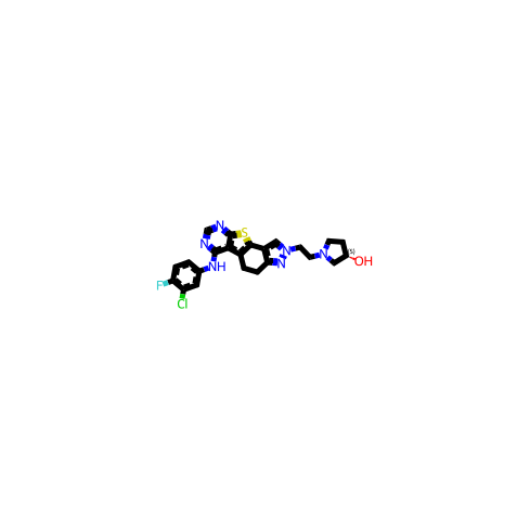 O[C@H]1CCN(CCn2cc3c(n2)CCc2c-3sc3ncnc(Nc4ccc(F)c(Cl)c4)c23)C1